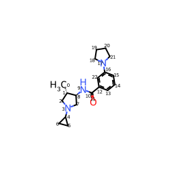 C[C@H]1CN(C2CC2)C[C@@H]1NC(=O)c1cccc(N2CCCC2)c1